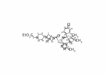 CCOC(=O)CN1CCC(N2CC3[C@H]2CN3C(=O)C[C@@H]2N=C(c3ccc(Cl)cc3)c3c(sc(C)c3C)-n3c(C)nnc32)CC1